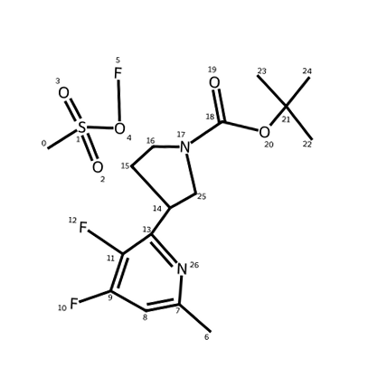 CS(=O)(=O)OF.Cc1cc(F)c(F)c(C2CCN(C(=O)OC(C)(C)C)C2)n1